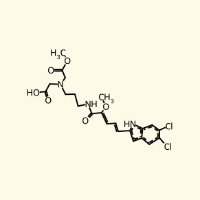 COC(=O)CN(CCCNC(=O)C(=CC=Cc1cc2cc(Cl)c(Cl)cc2[nH]1)OC)CC(=O)O